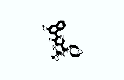 COc1cc(-c2ncc3c(N4CCOCC4)nc(OC)nc3c2F)c2ccccc2c1